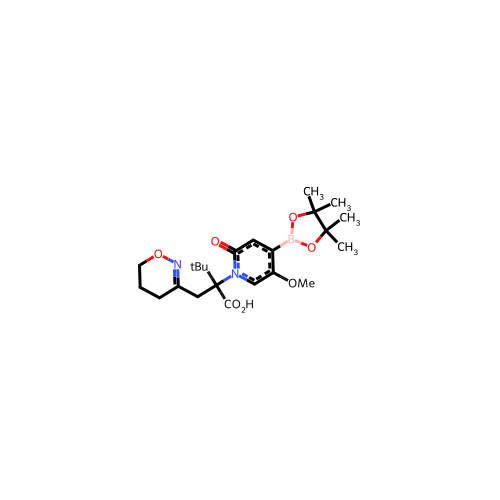 COc1cn(C(CC2=NOCCC2)(C(=O)O)C(C)(C)C)c(=O)cc1B1OC(C)(C)C(C)(C)O1